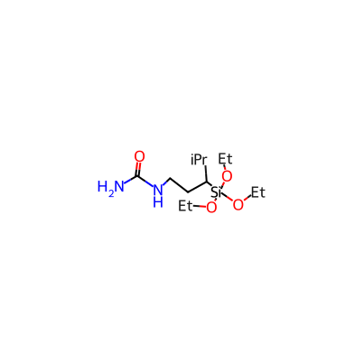 CCO[Si](OCC)(OCC)C(CCNC(N)=O)C(C)C